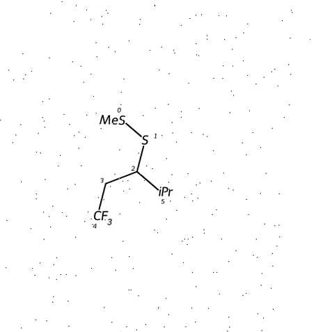 CSSC(CC(F)(F)F)C(C)C